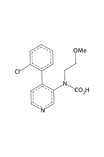 COCCN(C(=O)O)c1cnccc1-c1ccccc1Cl